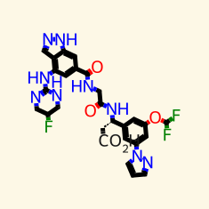 O=C(O)C[C@H](NC(=O)CNC(=O)c1cc(NC2=NCC(F)CN2)c2cn[nH]c2c1)c1cc(OC(F)F)cc(-n2cccn2)c1